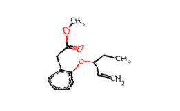 C=CC(CC)Oc1ccccc1CC(=O)OC